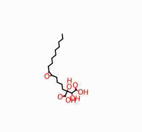 CCCCCCCCCC1OC1CCCCC(O)(C(=O)O)C(O)C(=O)O